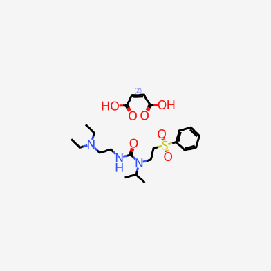 CCN(CC)CCNC(=O)N(CCS(=O)(=O)c1ccccc1)C(C)C.O=C(O)/C=C\C(=O)O